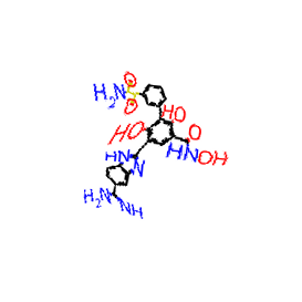 N=C(N)c1ccc2[nH]c(-c3cc(C(=O)NO)c(O)c(-c4cccc(S(N)(=O)=O)c4)c3O)nc2c1